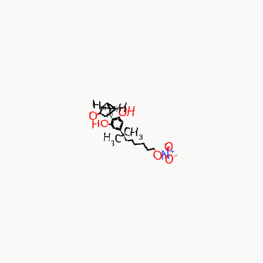 CC(C)(CCCCCCO[N+](=O)[O-])c1cc(O)c([C@@]23CC(=O)[C@@H]4C5[C@H]2C543)c(O)c1